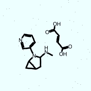 CNC1CC2CC2N1c1cccnc1.O=C(O)/C=C/C(=O)O